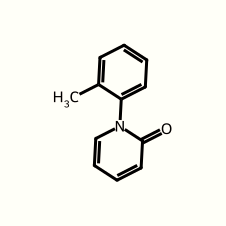 Cc1ccccc1-n1ccccc1=O